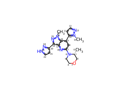 C[C@@H]1COCCN1c1cc(-c2ccnn2C)c2c(n1)c(-c1cc[nH]n1)nn2C